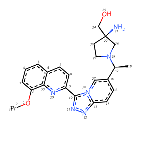 CC(C)Oc1cccc2ccc(-c3nnc4ccc([C@H](C)N5CC[C@](N)(CO)C5)cn34)nc12